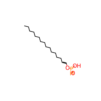 CCCCCCCCCCCCCCC=CO[PH](=O)O